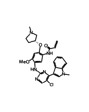 C=CC(=O)Nc1cc(Nc2ncc(Cl)c(-c3cn(C)c4ccccc34)n2)c(OC)cc1O[C@@H]1CCN(C)C1